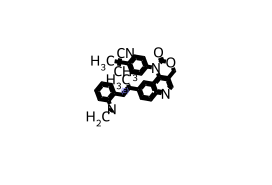 C=Nc1ccccc1/C=C(\C)c1ccc2ncc3c(c2c1)N(c1ccc(C(C)(C)C#N)cc1)C(=O)OC3